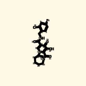 O=C(NCc1ccc(F)cc1Cl)c1cn2c(c(O)c1=O)C(=O)N1CCCCC2C1